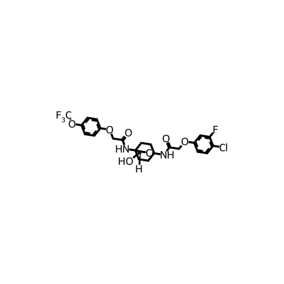 O=C(COc1ccc(Cl)c(F)c1)NC12CCC(NC(=O)COc3ccc(OC(F)(F)F)cc3)(CC1)[C@@H](O)C2